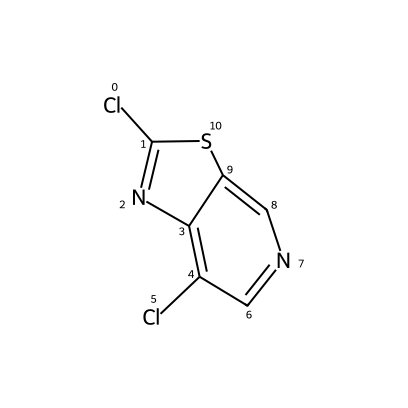 Clc1nc2c(Cl)cncc2s1